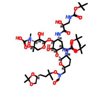 CN(C(=O)O)[C@@H]1[C@@H](O)[C@@H](O[C@@H]2[C@H](O)[C@H](O[C@H]3O[C@H](CN(C=O)OC(C)(C)CC[C@@H]4COC(C)(C)O4)CC[C@H]3NC(=O)OC(C)(C)C)[C@@H](NC(=O)OC(C)(C)C)C[C@H]2NC(=O)[C@@H](O)CNC(=O)OC(C)(C)C)OC[C@]1(C)O